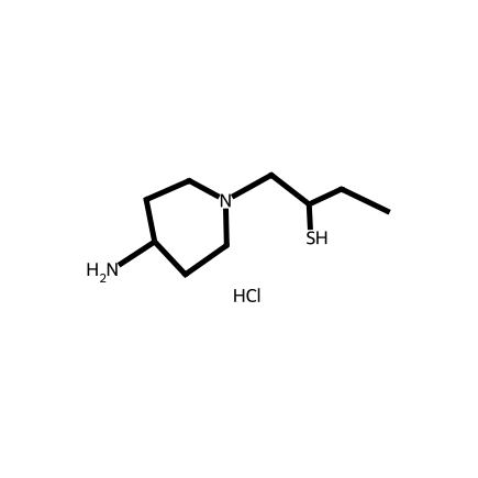 CCC(S)CN1CCC(N)CC1.Cl